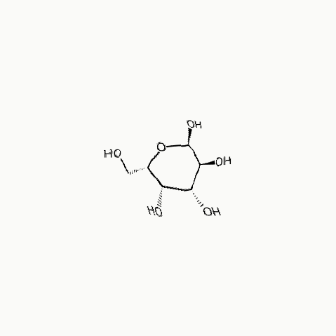 OC[C@@H]1O[C@@H](O)[C@@H](O)[C@H](O)[C@@H]1O